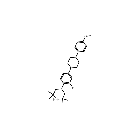 COc1ccc(C2CCC(c3ccc(C4CC(C)(C)NC(C)(C)C4)c(F)c3)CC2)cc1